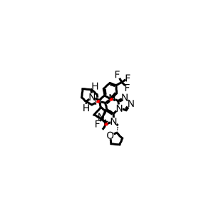 Cc1nc2c(N3C[C@H]4CC[C@@H](C3)N4C(c3ccc(C(F)(F)F)cc3)C3CC(F)(F)C3)nc3nncn3c2n1C[C@@H]1CCCO1